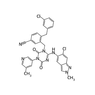 Cc1cncc(-n2c(=O)nc(Nc3cc4cn(C)nc4cc3Cl)n(Cc3cc(C#N)ccc3Cc3cccc(Cl)c3)c2=O)c1